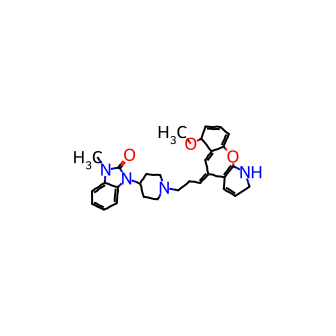 COC1C=CC=C2OC3=C(C=CCN3)C(=CCCN3CCC(n4c(=O)n(C)c5ccccc54)CC3)C=C21